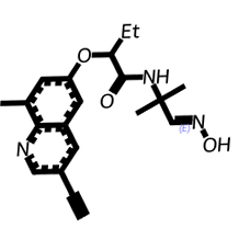 C#Cc1cnc2c(C)cc(OC(CC)C(=O)NC(C)(C)/C=N/O)cc2c1